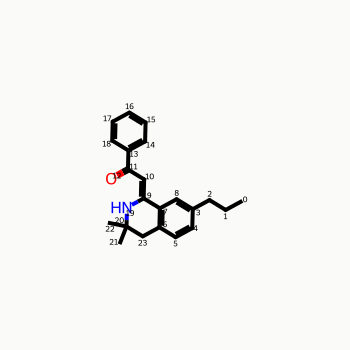 CCCc1ccc2c(c1)/C(=C/C(=O)c1ccccc1)NC(C)(C)C2